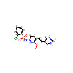 COc1nc(NS(=O)(=O)c2ccccc2Cl)ccc1/C=C/c1cnc(F)nc1